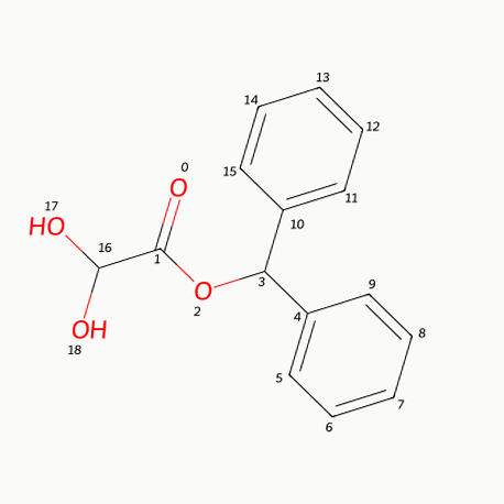 O=C(OC(c1ccccc1)c1ccccc1)C(O)O